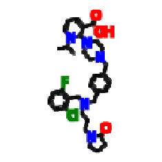 CC(C)N1C=CC=C(C(=O)O)C1N1CCN(Cc2ccc(CN(CCCN3CCCC3=O)Cc3c(F)cccc3Cl)cc2)CC1